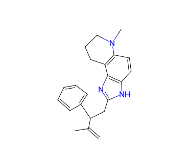 C=C(C)C(Cc1nc2c3c(ccc2[nH]1)N(C)CCC3)c1ccccc1